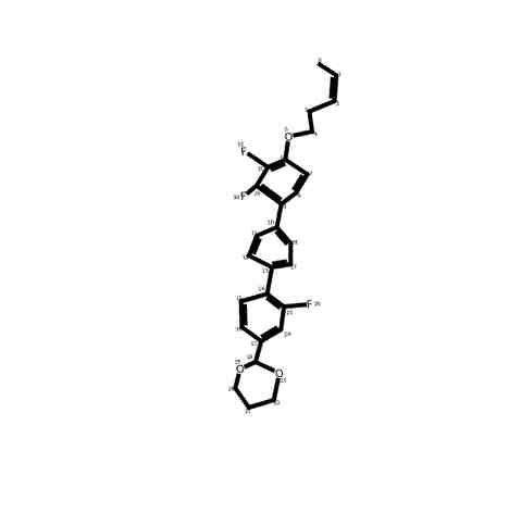 C/C=C\CCOc1ccc(-c2ccc(-c3ccc(C4OCCCO4)cc3F)cc2)c(F)c1F